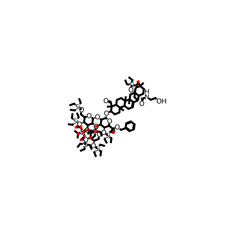 CC[Si](CC)(CC)OCC1O[C@@H](OC2C(O[C@@H]3OC[C@@H](O[Si](CC)(CC)CC)C(O[Si](CC)(CC)CC)C3O[Si](CC)(CC)CC)[C@H](O[Si](CC)(CC)CC)C(C(=O)OCc3ccccc3)O[C@H]2OC2CCC3(C)C(CCC4(C)C3CC=C3C5CC6C(C)(C)CC[C@]5(C(=O)NCCO)[C@@]6(O[Si](CC)(CC)CC)CC34C)C2(C)C=O)C(O[Si](CC)(CC)CC)C(O[Si](CC)(CC)CC)[C@H]1O[Si](CC)(CC)CC